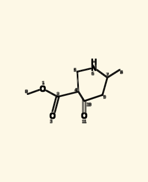 COC(=O)C1CNC(C)CC1=O